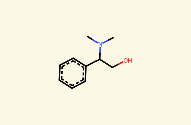 CN(C)C(CO)c1ccccc1